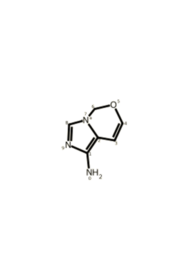 NC1=C2C=COC[N+]2C=N1